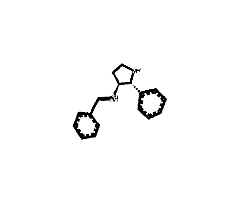 c1ccc(CN[C@H]2CCN[C@@H]2c2ccccc2)cc1